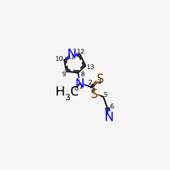 CN(C(=S)SCC#N)c1ccncc1